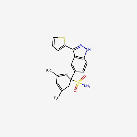 NS(=O)(=O)C1(c2ccc3[nH]nc(-c4cccs4)c3c2)C=C(C(F)(F)F)C=C(C(F)(F)F)C1